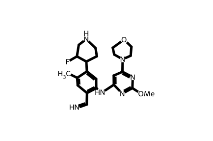 COc1nc(Nc2cc(C3CCNCC3F)c(C)cc2C=N)cc(N2CCOCC2)n1